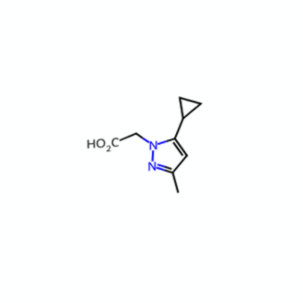 Cc1cc(C2CC2)n(CC(=O)O)n1